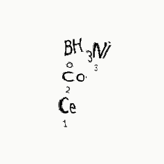 B.[Ce].[Co].[Ni]